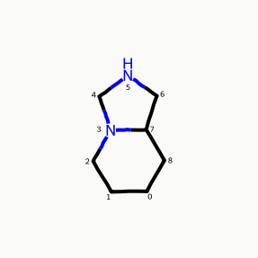 C1CCN2CNCC2C1